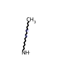 CCCCC/C=C/C/C=C/CCCCCCC[NH]